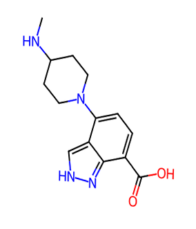 CNC1CCN(c2ccc(C(=O)O)c3n[nH]cc23)CC1